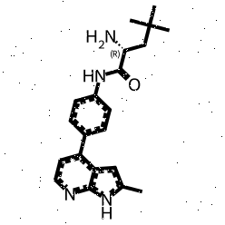 Cc1cc2c(-c3ccc(NC(=O)[C@H](N)CC(C)(C)C)cc3)ccnc2[nH]1